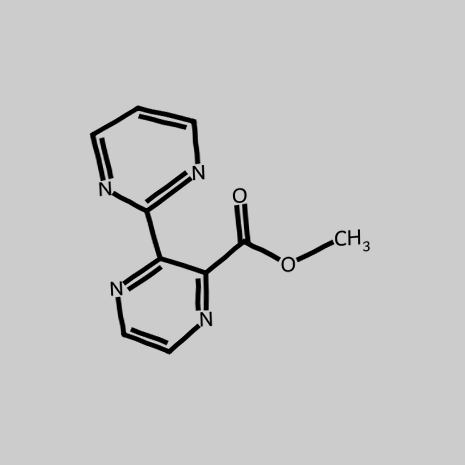 COC(=O)c1nccnc1-c1ncccn1